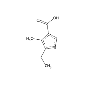 CCc1scc(C(=O)O)c1C